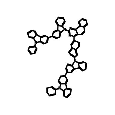 c1ccc(-n2c3ccccc3c3cc(-c4ccc5c(c4)c4ccccc4n5-c4ccc5cc(-c6nc(-n7c8ccccc8c8cc(-c9ccc%10c(c9)c9ccccc9n%10-c9ccccc9)ccc87)nc7c6ccc6ccccc67)ccc5c4)ccc32)cc1